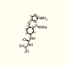 CCC(CC)NC(=O)Nc1ccc(Oc2cnc(N)s2)c(COC)c1